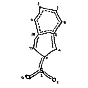 O=S(=O)=C1C=c2ccccc2=C1